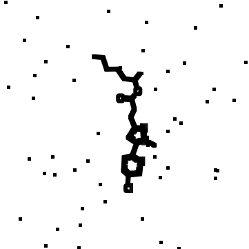 CCCCCC(C)OC(=O)CCc1cc(-c2ccc(Cl)cn2)n(C)n1